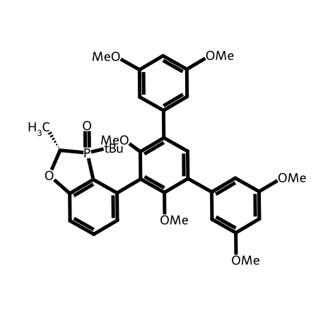 COc1cc(OC)cc(-c2cc(-c3cc(OC)cc(OC)c3)c(OC)c(-c3cccc4c3P(=O)(C(C)(C)C)[C@@H](C)O4)c2OC)c1